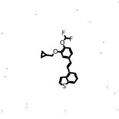 FC(F)Oc1ccc(C=Cc2cccc3sccc23)cc1OCC1CC1